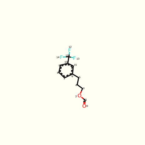 O=[C]OCCCc1cccc(C(F)(F)F)c1